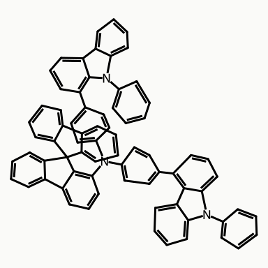 c1ccc(-n2c3ccccc3c3c(-c4ccc(N(c5ccc(-c6cccc7c8ccccc8n(-c8ccccc8)c67)cc5)c5cccc6c5C5(c7ccccc7-c7ccccc75)c5ccccc5-6)cc4)cccc32)cc1